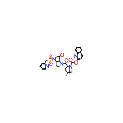 CC(C)CC(NC(=O)Oc1ccc2ccccc2n1)C(=O)N1CCC2C1C(=O)CN2S(=O)(=O)Cc1ccccn1